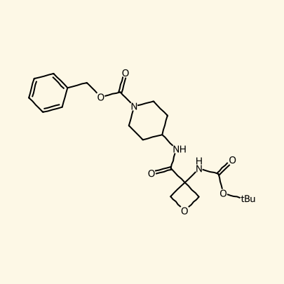 CC(C)(C)OC(=O)NC1(C(=O)NC2CCN(C(=O)OCc3ccccc3)CC2)COC1